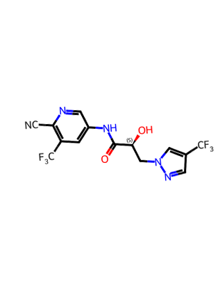 N#Cc1ncc(NC(=O)[C@@H](O)Cn2cc(C(F)(F)F)cn2)cc1C(F)(F)F